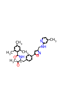 CC(=O)[C@H](Cc1ccc(-c2cc(CNc3cc(C)ccn3)no2)cc1)NC(=O)c1c(C)cc(C)cc1C